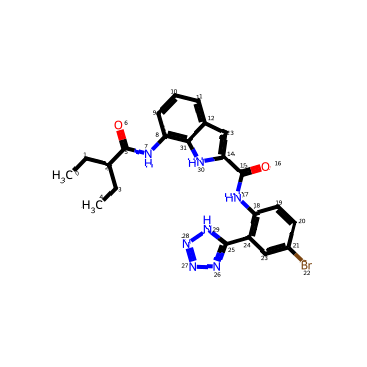 CCC(CC)C(=O)Nc1cccc2cc(C(=O)Nc3ccc(Br)cc3-c3nnn[nH]3)[nH]c12